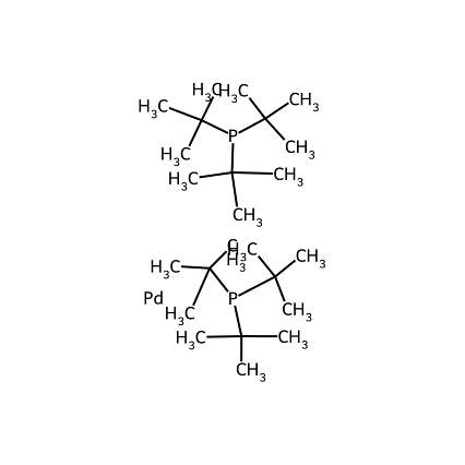 CC(C)(C)P(C(C)(C)C)C(C)(C)C.CC(C)(C)P(C(C)(C)C)C(C)(C)C.[Pd]